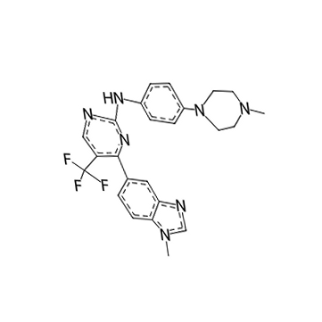 CN1CCN(c2ccc(Nc3ncc(C(F)(F)F)c(-c4ccc5c(c4)ncn5C)n3)cc2)CC1